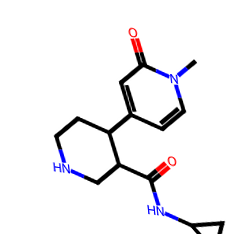 Cn1ccc(C2CCNCC2C(=O)NC2CC2)cc1=O